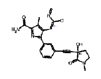 C=N/C(Cl)=C\c1c(C)c(C(N)=O)nn1-c1cccc(C#C[C@]2(O)CCN(C)C2=O)c1